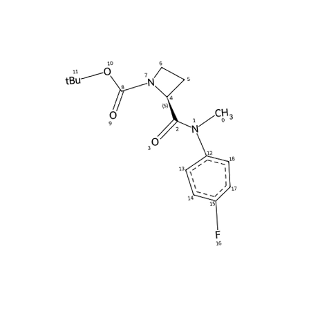 CN(C(=O)[C@@H]1CCN1C(=O)OC(C)(C)C)c1ccc(F)cc1